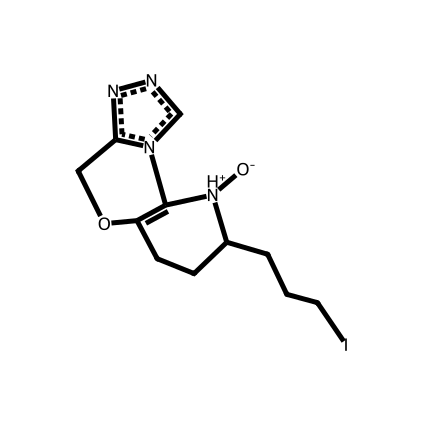 [O-][NH+]1C2=C(CCC1CCCI)OCc1nncn12